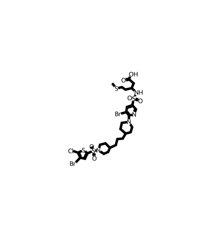 CSCCC(CC(=O)O)NS(=O)(=O)c1cnc(N2CCC(CCCC3CCN(S(=O)(=O)c4cc(Br)c(Cl)s4)CC3)CC2)c(Br)c1